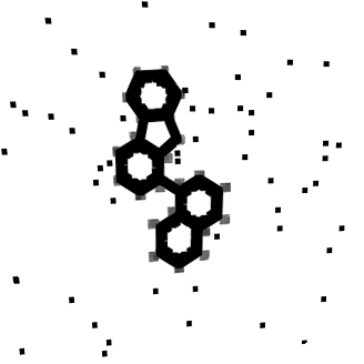 [C]1c2ccccc2-c2cccc(-c3cccc4ccccc34)c21